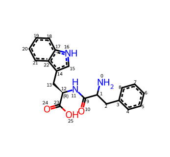 NC(Cc1ccccc1)C(=O)N[C@H](Cc1c[nH]c2ccccc12)C(=O)O